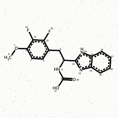 COc1ccc(CC(NC(=O)O)c2nc3ccccc3[nH]2)c(F)c1F